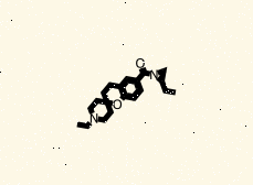 CCC1CN1C(=O)c1ccc2c(c1)CCC1(CCN(CC)CC1)O2